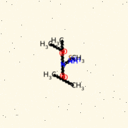 CCCCCCCCC(CCCCCC)C(=O)OCCCCCCN(CCCCCCOC(=O)C(CCCCCC)CCCCCCCC)CCCCNC(=S)NC